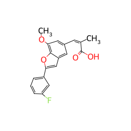 COc1cc(C=C(C)C(=O)O)cc2cc(-c3cccc(F)c3)oc12